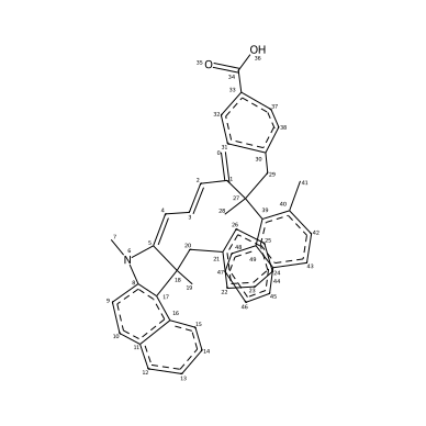 C=C(/C=C/C=C1/N(C)c2ccc3ccccc3c2C1(C)Cc1ccccc1)C(C)(Cc1ccc(C(=O)O)cc1)c1c(C)ccc2ccccc12